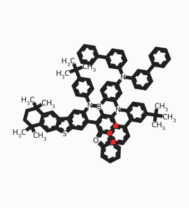 CC(C)(C)c1ccc(N2B3c4ccc(N(c5cccc(-c6ccccc6)c5)c5cccc(-c6ccccc6)c5)cc4N(c4ccc(C(C)(C)C)cc4-c4ccccc4)c4cc5c(oc6ccccc65)c(c43)-c3cc4sc5cc6c(cc5c4cc32)C(C)(C)CCC6(C)C)cc1